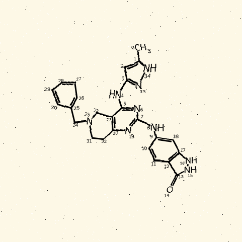 Cc1cc(Nc2nc(Nc3ccc4c(=O)[nH][nH]c4c3)nc3c2CN(Cc2ccccc2)CC3)n[nH]1